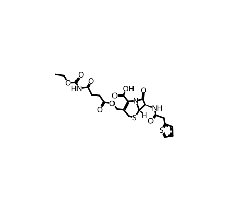 CCOC(=O)NC(=O)CCC(=O)OCC1=C(C(=O)O)N2C(=O)[C@@H](NC(=O)Cc3cccs3)[C@@H]2SC1